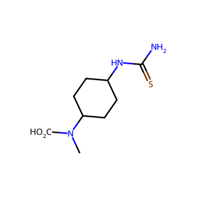 CN(C(=O)O)C1CCC(NC(N)=S)CC1